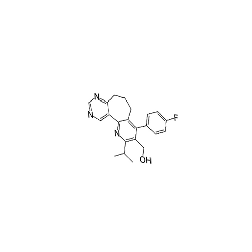 CC(C)c1nc2c(c(-c3ccc(F)cc3)c1CO)CCCc1ncncc1-2